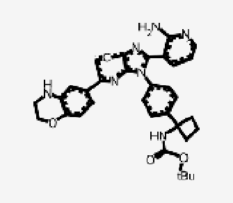 CC(C)(C)OC(=O)NC1(c2ccc(-n3c(-c4cccnc4N)nc4ccc(-c5ccc6c(c5)NCCO6)nc43)cc2)CCC1